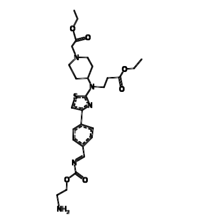 CCOC(=O)CCN(c1nc(-c2ccc(C=NC(=O)OCCN)cc2)cs1)C1CCN(CC(=O)OCC)CC1